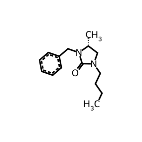 CCCCN1C[C@@H](C)N(Cc2ccccc2)C1=O